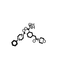 O=C(NO)[C@H]1CC(CC(=O)N2CCOCC2)CC[C@@H]1C(=O)N1CCN(c2ccccc2)CC1